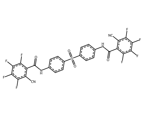 N#Cc1c(F)c(F)c(F)c(F)c1C(=O)Nc1ccc(S(=O)(=O)c2ccc(NC(=O)c3c(F)c(F)c(F)c(F)c3C#N)cc2)cc1